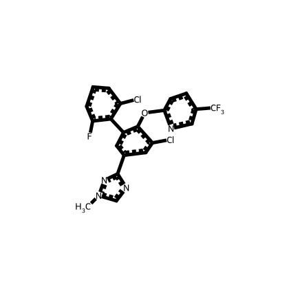 Cn1cnc(-c2cc(Cl)c(Oc3ccc(C(F)(F)F)cn3)c(-c3c(F)cccc3Cl)c2)n1